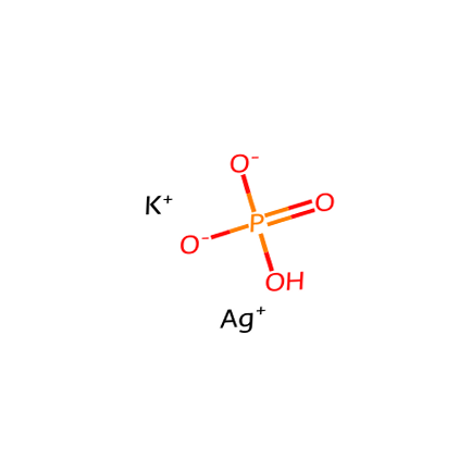 O=P([O-])([O-])O.[Ag+].[K+]